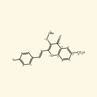 CCCCOc1c(/C=C/c2ccc(C)cc2)oc2ccc(C(=O)O)cc2c1=O